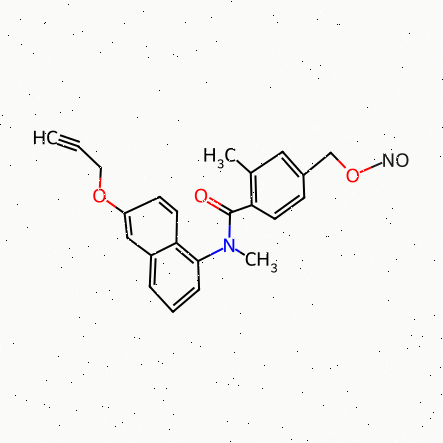 C#CCOc1ccc2c(N(C)C(=O)c3ccc(CON=O)cc3C)cccc2c1